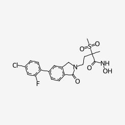 CC(CCN1Cc2cc(-c3ccc(Cl)cc3F)ccc2C1=O)(C(=O)NO)S(C)(=O)=O